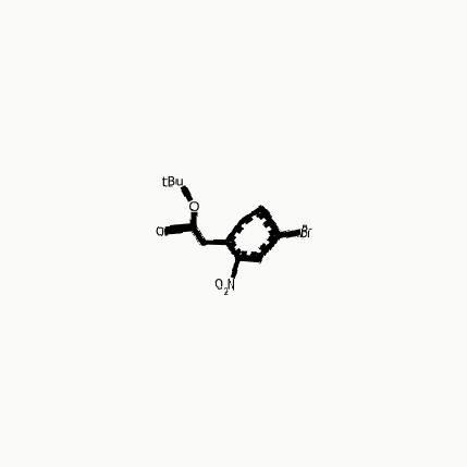 CC(C)(C)OC(=O)Cc1ccc(Br)cc1[N+](=O)[O-]